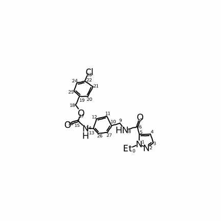 CCn1nccc1C(=O)NCc1ccc(NC(=O)OCc2ccc(Cl)cc2)cc1